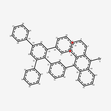 Brc1c2ccccc2c(-c2cccc(-c3c(-c4ccccc4)cc(-c4ccccc4)cc3-c3ccccc3)c2)c2ccccc12